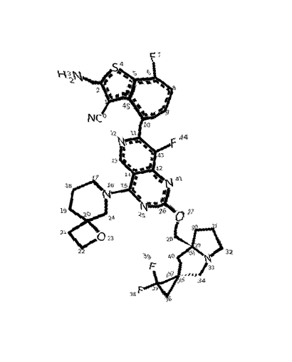 N#Cc1c(N)sc2c(F)ccc(-c3ncc4c(N5CCCC6(CCO6)C5)nc(OC[C@@]56CCCN5C[C@@]5(CC5(F)F)C6)nc4c3F)c12